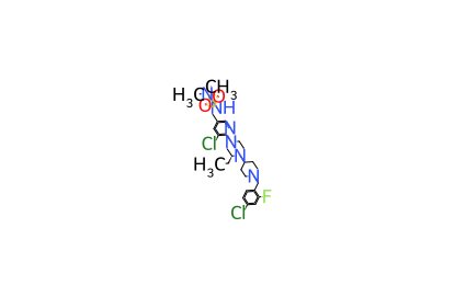 CC[C@H]1CN(c2ncc(CNS(=O)(=O)N(C)C)cc2Cl)CCN1C1CCN(Cc2ccc(Cl)cc2F)CC1